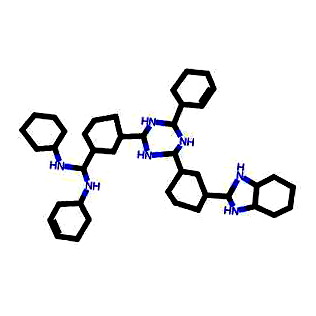 C1=CC(C2NC(C3CCCC(C(NC4CC=CCC4)NC4CCCCC4)C3)NC(C3CCCC(C4NC5CCCCC5N4)C3)N2)CCC1